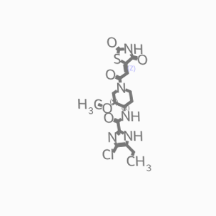 CCc1[nH]c(C(=O)N[C@@H]2CCN(C(=O)/C=C3\SC(=O)NC3=O)C[C@@H]2OC)nc1Cl